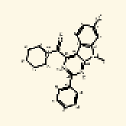 Cn1c2cc(Cl)ccc2c2c(C(=O)N3CCCCC3)nc(-c3ccccc3)nc21